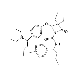 CCC[C@@H](NC(=O)N1C(=O)C(CC)(CC)C1Oc1ccc([C@@H](COC)N(CC)CC)cc1)c1ccc(C)cc1